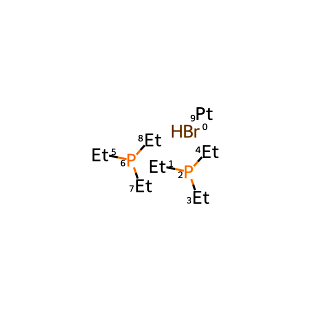 Br.CCP(CC)CC.CCP(CC)CC.[Pt]